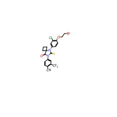 N#Cc1ccc(N2C(=O)C3(CCC3)N(c3ccc(OCCBr)c(Cl)c3)C2=S)cc1C(F)(F)F